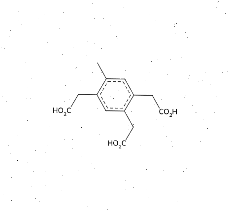 Cc1cc(CC(=O)O)c(CC(=O)O)cc1CC(=O)O